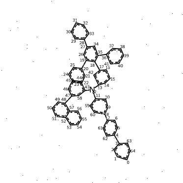 c1ccc(-c2ccc(-c3ccc(N(c4cccc(-c5c(-c6ccccc6)cc(-c6ccccc6)cc5-c5ccccc5)c4)c4cccc(-c5cccc6ccccc56)c4)cc3)cc2)cc1